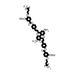 COc1cc(C(=O)Oc2ccc(/C=C/C(=O)c3cc(N)ccc3-c3ccc(N)c(C)c3C(=O)/C=C/c3ccc(OC(=O)c4ccc(OCCCC(F)(F)C(F)(F)F)c(OC)c4)cc3)cc2)ccc1OCCCC(F)(F)C(F)(F)F